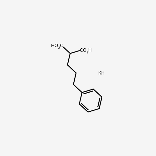 O=C(O)C(CCCc1ccccc1)C(=O)O.[KH]